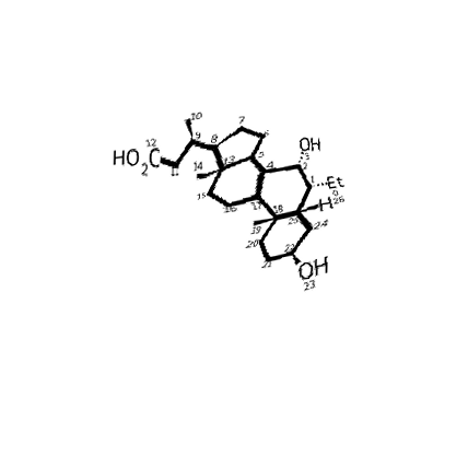 CC[C@H]1[C@@H](O)C2C3CC[C@H]([C@H](C)CC(=O)O)[C@@]3(C)CCC2[C@@]2(C)CC[C@H](O)C[C@@H]12